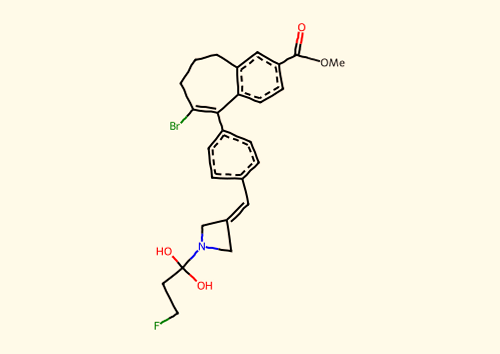 COC(=O)c1ccc2c(c1)CCCC(Br)=C2c1ccc(C=C2CN(C(O)(O)CCF)C2)cc1